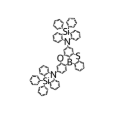 c1ccc([Si]2(c3ccccc3)c3ccccc3N(c3ccc4c(c3)Oc3cc(N5c6ccccc6[Si](c6ccccc6)(c6ccccc6)c6ccccc65)cc5c3B4c3ccccc3S5)c3ccccc32)cc1